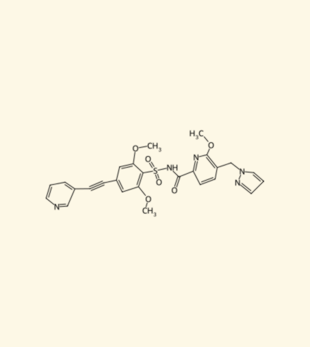 COc1cc(C#Cc2cccnc2)cc(OC)c1S(=O)(=O)NC(=O)c1ccc(Cn2cccn2)c(OC)n1